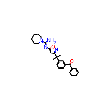 CC(C)(c1cccc(C(=O)c2ccccc2)c1)c1cc(/N=C(\N)N2CCCCCC2)on1